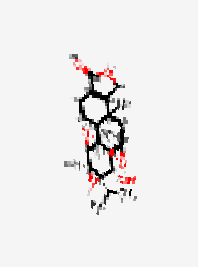 CC(C(F)(F)F)[C@]12O[C@H]1[C@@H]1O[C@]13[C@]1(O[C@H]1C[C@H]1C4=C(CC[C@@]13C)C(=O)OC4)[C@@H]2O